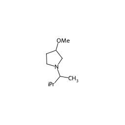 COC1CCN(C(C)C(C)C)C1